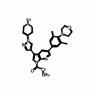 CCN1CCC(n2cc(-c3cn(C(=O)OC(C)(C)C)c4ncc(-c5cc(C)c(N6CCOCC6)c(C)c5)cc34)cn2)CC1